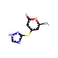 Cc1cc(Sc2nc[nH]n2)cc(=O)o1